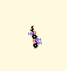 CC/C=C(\C)C(=O)Nc1ccc(NC(=O)Nc2ccccc2)cc1